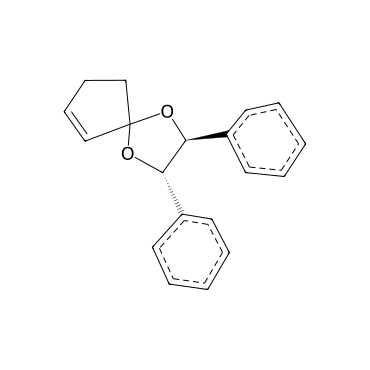 C1=CC2(CC1)O[C@@H](c1ccccc1)[C@H](c1ccccc1)O2